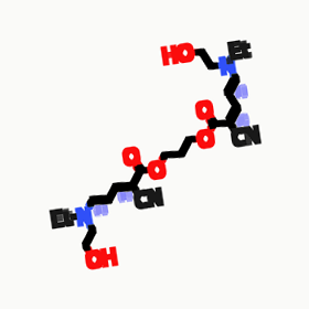 CCN(/C=C/C=C(/C#N)C(=O)OCCCOC(=O)/C(C#N)=C/C=C/N(CC)CCO)CCO